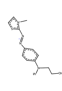 CC(C)N(CCO)c1ccc(/N=N/c2scc[n+]2C)cc1